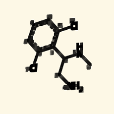 CNC(CN)c1c(Cl)cccc1Cl